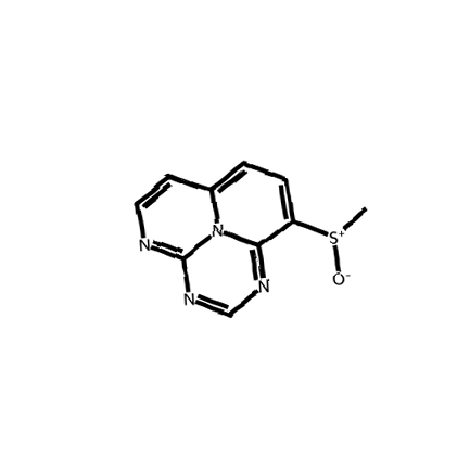 C[S+]([O-])C1=CC=C2C=CN=C3N=CN=C1N23